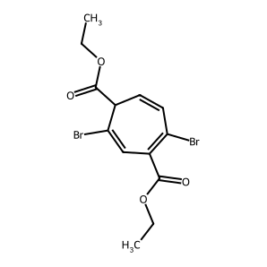 CCOC(=O)C1=C(Br)C=CC(C(=O)OCC)C(Br)=C1